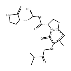 Cc1cc2n(c(=O)c1NCC(=O)N(C)C)[C@H](C(=O)N[C@H](C#N)C[C@@H]1CCNC1=O)CC2